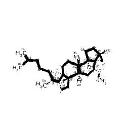 CO[C@@H]1C[C@H]2[C@@H]3CC[C@H]([C@H](C)CCCC(C)C)[C@@]3(C)CC[C@@H]2[C@@]2(C)CC[C@@H]3C[C@]312